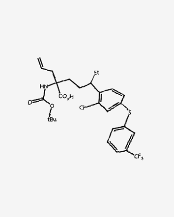 C=CCC(CCC(CC)c1ccc(Sc2cccc(C(F)(F)F)c2)cc1Cl)(NC(=O)OC(C)(C)C)C(=O)O